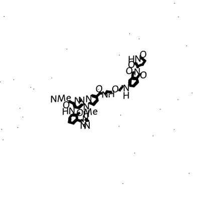 CNC(=O)c1nnc(Nc2ccc(C(=O)NCCOCCNc3ccc4c(c3)C(=O)N(C3CCC(=O)NC3=O)C4=O)cn2)cc1Nc1cccc(-c2ncn(C)n2)c1OC